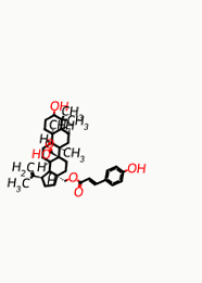 C=C(C)[C@@H]1CC[C@]2(COC(=O)C=Cc3ccc(O)cc3)CC[C@]3(C(=O)O)[C@H](CC[C@@H]4[C@@]5(C)CCC(O)C(C)(C)[C@@H]5CC[C@]43C)[C@@H]12